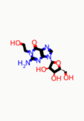 Nc1nc2c(ncn2[C@@H]2O[C@H](CO)[C@@H](O)[C@H]2O)c(=O)n1CCO